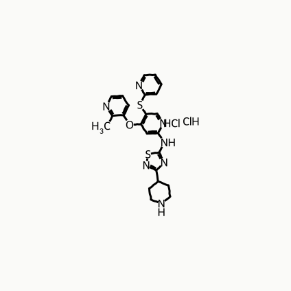 Cc1ncccc1Oc1cc(Nc2nc(C3CCNCC3)ns2)ncc1Sc1ccccn1.Cl.Cl